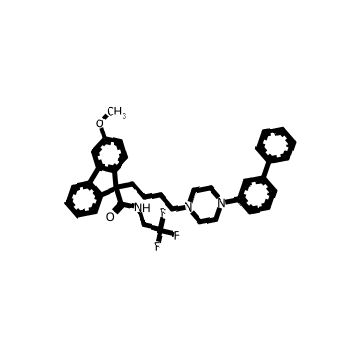 COc1ccc2c(c1)-c1ccccc1C2(CCCCN1CCN(c2cccc(-c3ccccc3)c2)CC1)C(=O)NCC(F)(F)F